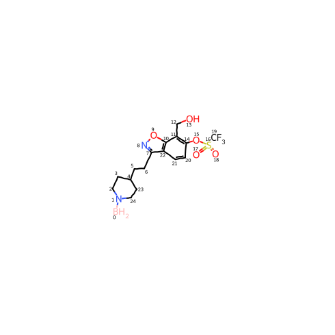 BN1CCC(CCc2noc3c(CO)c(OS(=O)(=O)C(F)(F)F)ccc23)CC1